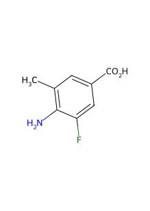 Cc1cc(C(=O)O)cc(F)c1N